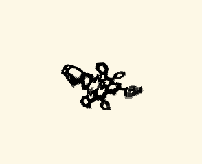 CC(C)(C)c1cc2c(=O)c3c4ccccc4n4c5cc6c(cc5n5c7ccccc7c7c(=O)c(c1)c2n(c34)c75)C1CC2CC3CC6CC32C1